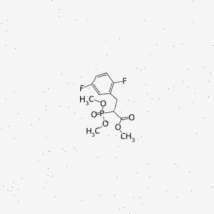 COC(=O)C(Cc1cc(F)ccc1F)P(=O)(OC)OC